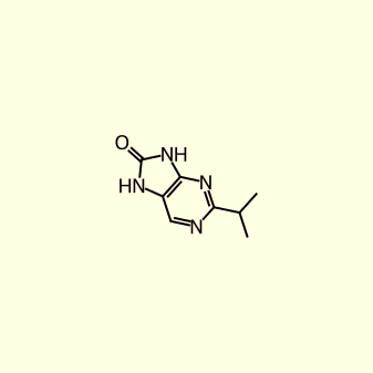 CC(C)c1ncc2[nH]c(=O)[nH]c2n1